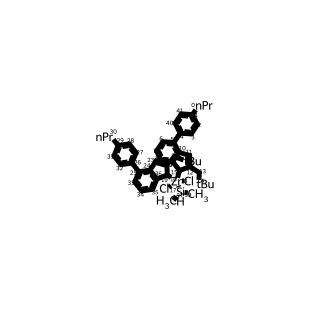 CCCc1ccc(-c2cccc3c2C=C(CC(C)(C)C)[CH]3[Zr]([Cl])([Cl])([CH]2C(CC(C)(C)C)=Cc3c(-c4ccc(CCC)cc4)cccc32)[SiH](C)C)cc1